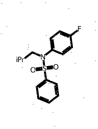 CC(C)CN(c1ccc(F)cc1)S(=O)(=O)c1ccccc1